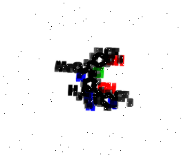 COc1nc2ccc(C(O)(c3ccnc(C(F)(F)F)c3)c3cncn3C)cc2c(Cl)c1CC1CCC(O)(C(F)(F)F)CC1